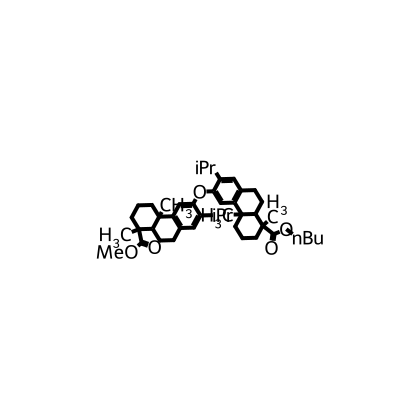 CCCCOC(=O)C1(C)CCCC2(C)c3cc(Oc4cc5c(cc4C(C)C)CCC4C(C)(C(=O)OC)CCCC54C)c(C(C)C)cc3CCC12